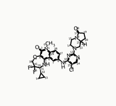 Cn1c(=O)c2c(c3cc(Nc4nc(N5CCN6C(=O)CC[C@@H]6C5)ncc4Cl)ccc31)N[C@@H](C1CC1)C(F)(F)CO2